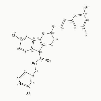 O=C(NCc1ccnc(Cl)c1)n1c2c(c3cc(Cl)ccc31)CN(CC=Cc1cc(F)cc(Br)c1)CC2